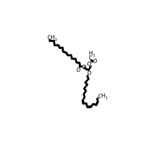 CC/C=C\C/C=C\C/C=C\CCCCCCCCOC(COC(C)=O)COC(=O)CCCCCCCCCCCCCCC